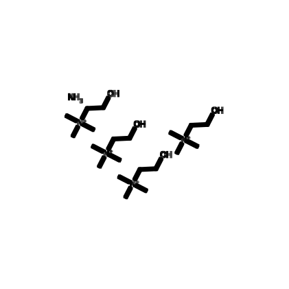 C[N+](C)(C)CCO.C[N+](C)(C)CCO.C[N+](C)(C)CCO.C[N+](C)(C)CCO.N